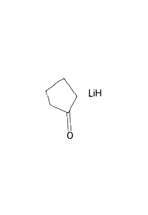 O=C1CCCC1.[LiH]